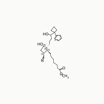 COC(=O)CCCCCC[C@@H]1[C@@H](CCCC(O)C2(c3cccs3)CCC2)[C@H](O)C[C@@H]1C#N